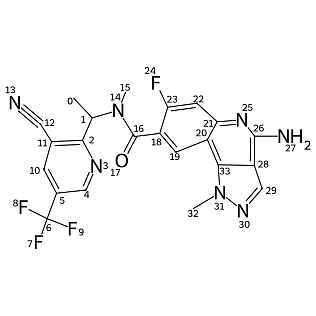 CC(c1ncc(C(F)(F)F)cc1C#N)N(C)C(=O)c1cc2c(cc1F)nc(N)c1cnn(C)c12